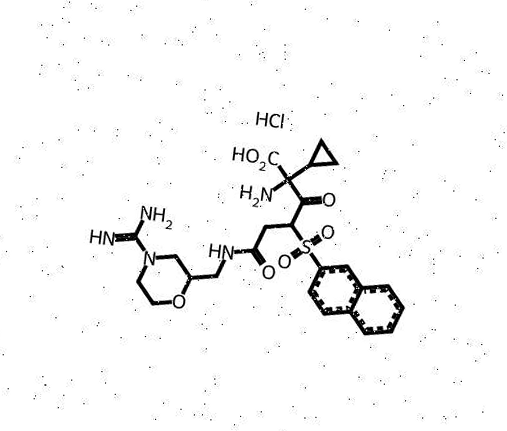 Cl.N=C(N)N1CCOC(CNC(=O)CC(C(=O)C(N)(C(=O)O)C2CC2)S(=O)(=O)c2ccc3ccccc3c2)C1